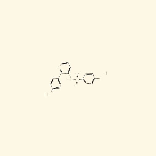 COc1ccc(S(=O)(=O)Nc2cccnc2-c2ccc(O)cc2)cc1